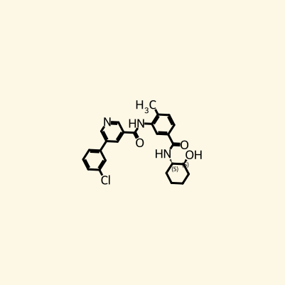 Cc1ccc(C(=O)N[C@H]2CCCC[C@@H]2O)cc1NC(=O)c1cncc(-c2cccc(Cl)c2)c1